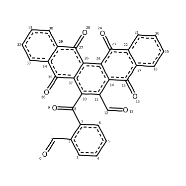 O=[C]c1ccccc1C(=O)c1c(C=O)c2c(=O)c3ccccc3c(=O)c2c2c(=O)c3ccccc3c(=O)c12